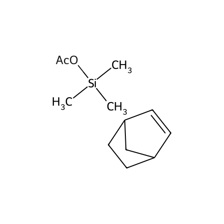 C1=CC2CCC1C2.CC(=O)O[Si](C)(C)C